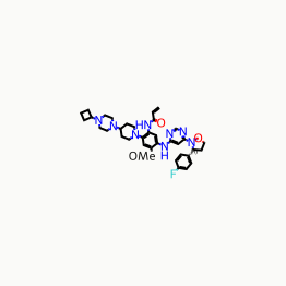 C=CC(=O)Nc1cc(Nc2cc(N3OCC[C@@H]3c3ccc(F)cc3)ncn2)c(OC)cc1N1CCC(N2CCN(C3CCC3)CC2)CC1